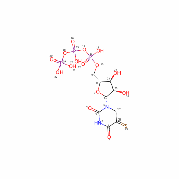 O=C1NC(=O)N([C@@H]2O[C@H](COP(=O)(O)OP(=O)(O)OP(=O)(O)O)[C@@H](O)[C@H]2O)CC1=S